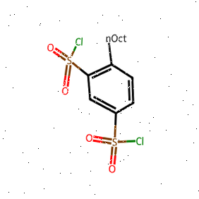 CCCCCCCCc1ccc(S(=O)(=O)Cl)cc1S(=O)(=O)Cl